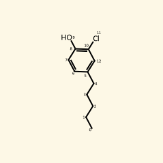 CCCCCc1ccc(O)c(Cl)c1